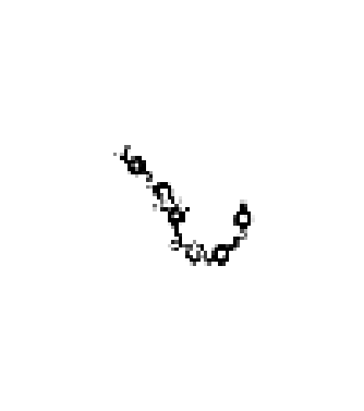 Cc1ccc(OCCc2ccc(CN3CCN(C(=O)C=Cc4cc(C)c(Oc5ccc(OCc6ccc(C(F)(F)F)cc6)cn5)c(Cl)c4)CC3)cc2)cc1